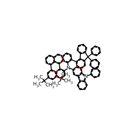 CC(C)(C)c1cc(-c2cccc3cccc(-c4ccccc4N(c4ccc5c(c4)c4ccccc4n5-c4ccccc4)c4ccccc4-c4cccc5c4-c4ccccc4C5(c4ccccc4)c4ccccc4)c23)cc(C(C)(C)C)c1